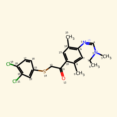 CCN(C)/C=N\c1cc(C)c(C(=O)CSc2ccc(Cl)c(Cl)c2)cc1C